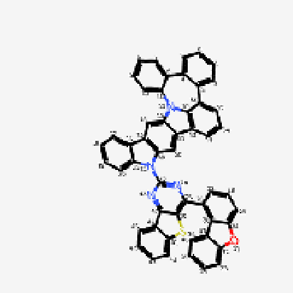 c1ccc2c(c1)-c1ccccc1-n1c3cc4c5ccccc5n(-c5nc(-c6cccc7oc8ccccc8c67)c6sc7ccccc7c6n5)c4cc3c3cccc-2c31